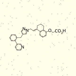 O=C(O)COc1cccc2c1CCCC2=CCn1cc(Cc2ccccc2-c2cccnc2)cn1